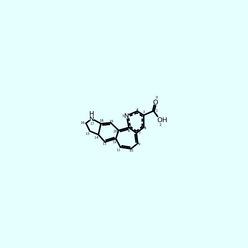 O=C(O)c1cnc2c(c1)=CC=CC1=CC3CCNC3=CC=21